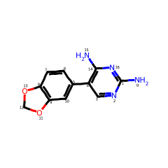 Nc1ncc(-c2ccc3c(c2)OCO3)c(N)n1